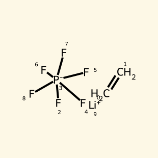 C=C.F[P-](F)(F)(F)(F)F.[Li+]